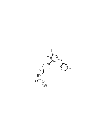 CC(C)(C)OC(=O)NCC1(O)CCN(c2cc(Oc3cccc(F)c3)cc(F)c2F)CC1